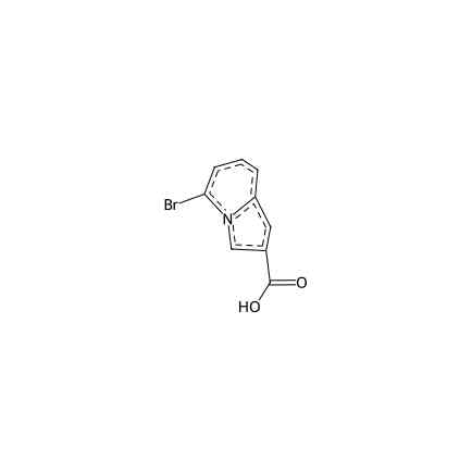 O=C(O)c1cc2cccc(Br)n2c1